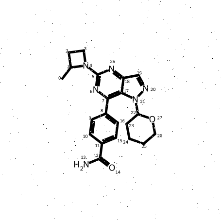 CC1CCN1c1nc(-c2ccc(C(N)=O)cc2)c2c(cnn2C2CCCCO2)n1